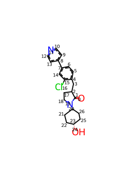 O=C1C(Cc2ccc(-c3ccncc3)cc2Cl)CCN1[C@H]1CC[C@@H](O)CC1